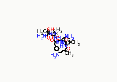 CC(C)C[C@@H](NC(=O)[C@@H](C)CCCN)C(=O)N[C@@H](CCN)C(=O)N[C@@H](CC1CCCCC1)C(=O)N[C@H](C(=O)N[C@H](C(N)=O)[C@@H](C)O)C(C)C